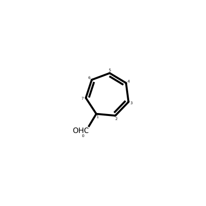 O=CC1C=CC=CC=C1